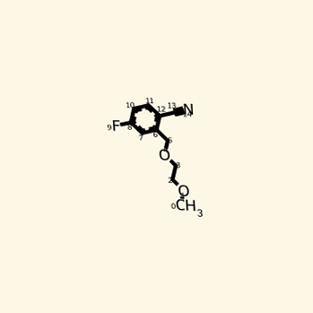 COCCOCc1cc(F)ccc1C#N